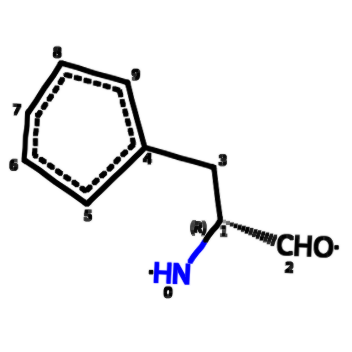 [NH][C@@H]([C]=O)Cc1ccccc1